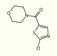 O=C(c1cnc(Cl)s1)N1CCOCC1